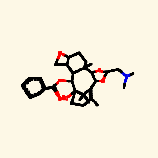 CC1=C2C3OC(CN(C)C)OC3C3(C)CCC4OCC4C3[C@H](OC(=O)c3ccccc3)C(O)(CC1)C2(C)C